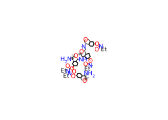 CCN(C)C(=O)Oc1ccc2c(c1)COCC2N(C)CC1O[C@H](C)C(NC2O[C@@H](C)[C@@H](N)c3cc(OC(=O)N(CC)N(CC)C(=O)Oc4ccc5c(c4)CO[C@H](C)[C@H]5N)ccc32)c2cc(OC(=O)N(C)CC)ccc21